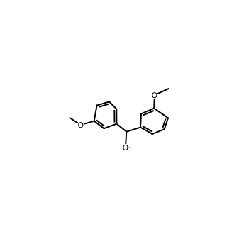 COc1cccc(C([O])c2cccc(OC)c2)c1